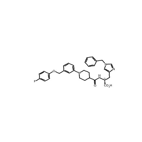 O=C(N[C@@H](Cc1cn(Cc2ccccc2)cn1)C(=O)O)C1CCN(c2cccc(COc3ccc(F)cc3)c2)CC1